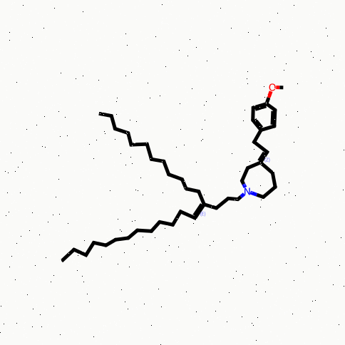 CCCCCCCCCCCC/C=C(\CCCCCCCCCCCC)CCCN1CCC/C(=C/Cc2ccc(OC)cc2)CC1